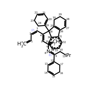 C=C/C=C\C(=CC(=C)/N=C(\CC(C)C)C1=CC=CCC1)C1(C2=CC=CCC2)C2=C(C=CCC2)c2ccccc21